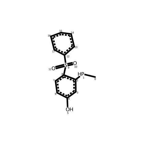 CPc1cc(O)ccc1S(=O)(=O)c1ccccc1